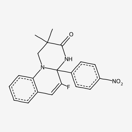 CC1(C)CN2c3ccccc3C=C(F)C2(c2ccc([N+](=O)[O-])cc2)NC1=O